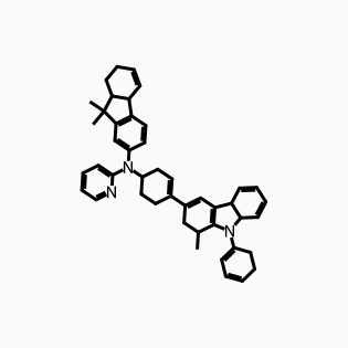 CC1CC(C2=CCC(N(c3ccc4c(c3)C(C)(C)C3CCC=CC43)c3ccccn3)CC2)=CC2=C1N(C1=CC=CCC1)C1C=CC=CC21